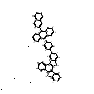 c1ccc2cc(-c3c4ccccc4c(-c4ccc(-c5ccc6sc7c(c6c5)c5ccccc5c5sc6ccccc6c57)cc4)c4ccccc34)ccc2c1